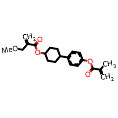 C=C(C)C(=O)Oc1ccc(C2CCC(OC(=O)C(=C)COC)CC2)cc1